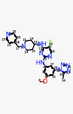 COc1cc(Nc2ncc(F)c(NC3CCN(Cc4ccncc4)CC3)n2)cc(-n2nnnc2C)c1